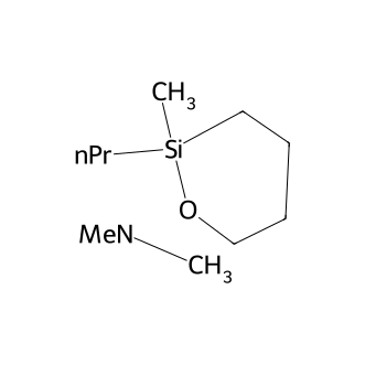 CCC[Si]1(C)CCCCO1.CNC